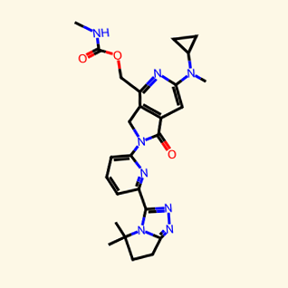 CNC(=O)OCc1nc(N(C)C2CC2)cc2c1CN(c1cccc(-c3nnc4n3C(C)(C)CC4)n1)C2=O